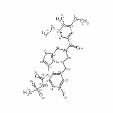 COc1cc(C(=O)N(CCCc2cccc(F)c2)Cc2nc(CC(=O)NS(C)(=O)=O)cs2)cc(OC)c1C